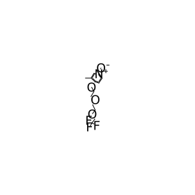 Cc1c[n+]([O-])ccc1OCCOCCOCC(F)(F)F